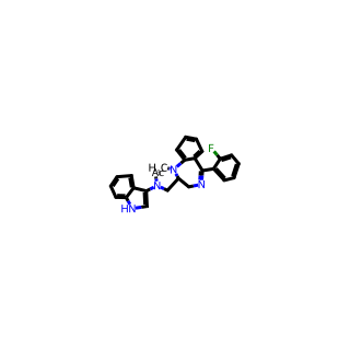 CC(=O)N(CC1CN=C(c2ccccc2F)c2ccccc2N1C)c1c[nH]c2ccccc12